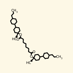 C#CC1(OC(=O)CCCCCCC(=O)OC2(C#C)CCC(C3CCC(CCC)CC3)CC2)CCC(C2CCC(CCC)CC2)CC1